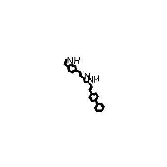 C(=Cc1cc(C=Cc2ccc3cc[nH]c3c2)n[nH]1)c1ccc(-c2ccccc2)cc1